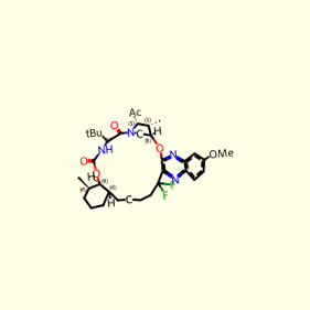 COc1ccc2nc3c(nc2c1)O[C@H]1CN(C(=O)[C@H](C(C)(C)C)NC(=O)O[C@H]2[C@H](CCCCC3(F)F)CCC[C@H]2C)[C@H](C(C)=O)[C@@H]1C